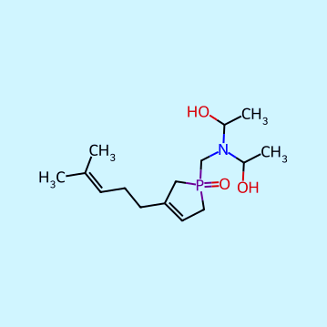 CC(C)=CCCC1=CCP(=O)(CN(C(C)O)C(C)O)C1